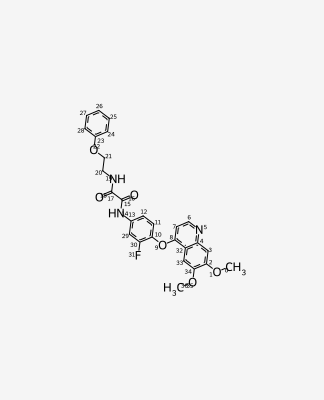 COc1cc2nccc(Oc3ccc(NC(=O)C(=O)NCCOc4ccccc4)cc3F)c2cc1OC